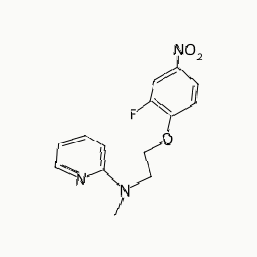 CN(CCOc1ccc([N+](=O)[O-])cc1F)c1ccccn1